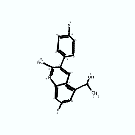 CC(O)c1cc(F)cc2nc(C#N)c(-c3ccc(F)cc3)cc12